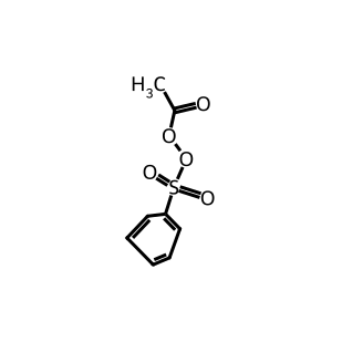 CC(=O)OOS(=O)(=O)c1ccccc1